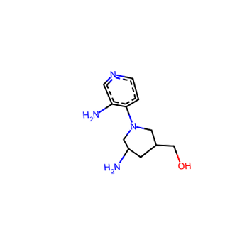 Nc1cnccc1N1CC(N)CC(CO)C1